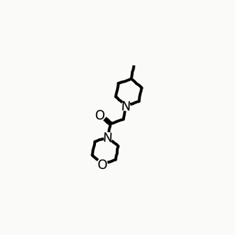 CC1CCN(CC(=O)N2CCOCC2)CC1